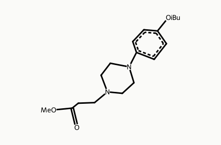 COC(=O)CCN1CCN(c2ccc(OCC(C)C)cc2)CC1